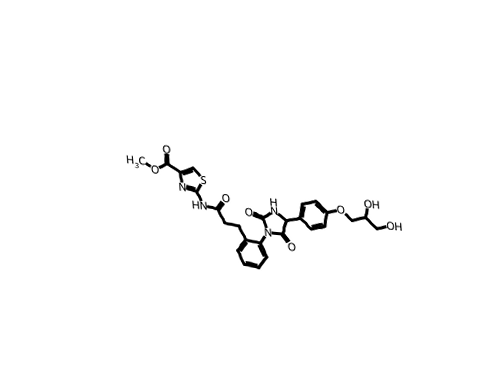 COC(=O)c1csc(NC(=O)CCc2ccccc2N2C(=O)NC(c3ccc(OCC(O)CO)cc3)C2=O)n1